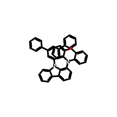 c1ccc(-c2cc(-c3ccccc3)cc(-n3c4ccccc4c4cccc(N5c6ccccc6Cc6ccccc65)c43)c2)cc1